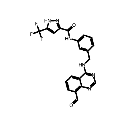 O=[C]c1cccc2c(NCc3cccc(NC(=O)c4cc(C(F)(F)F)[nH]n4)c3)ncnc12